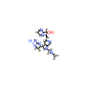 CC(O)(C#Cc1cc2c(-c3nc(N)ncc3F)cn(C3CN(C4CC4)C3)c2cn1)c1ncccn1